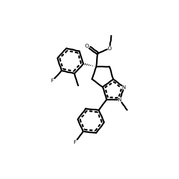 COC(=O)[C@@]1(c2cccc(F)c2C)Cc2nn(C)c(-c3ccc(F)cc3)c2C1